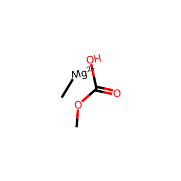 COC(=O)O.[CH3][Mg+2]